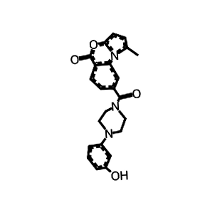 Cc1ccc2oc(=O)c3ccc(C(=O)N4CCN(c5cccc(O)c5)CC4)cc3n12